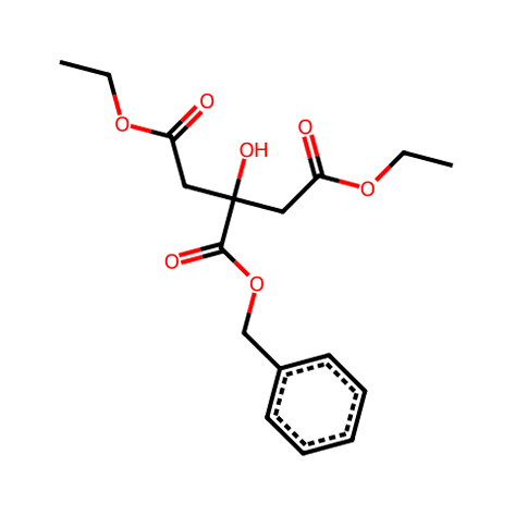 CCOC(=O)CC(O)(CC(=O)OCC)C(=O)OCc1ccccc1